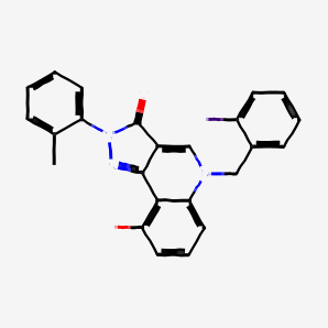 Cc1ccccc1-n1nc2c3c(O)cccc3n(Cc3ccccc3I)cc-2c1=O